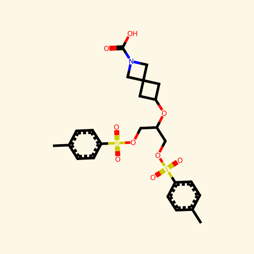 Cc1ccc(S(=O)(=O)OCC(COS(=O)(=O)c2ccc(C)cc2)OC2CC3(C2)CN(C(=O)O)C3)cc1